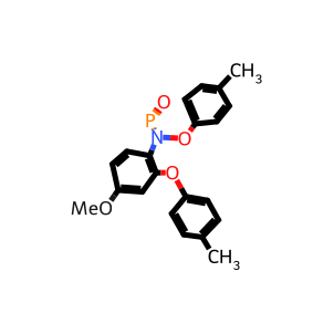 COc1ccc(N(Oc2ccc(C)cc2)P=O)c(Oc2ccc(C)cc2)c1